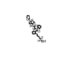 CC[C@H](Nc1ncnc2c1ncn2C1CCCCO1)c1nc2cccc(CCCCC(=O)NO)c2c(=O)n1-c1ccccc1